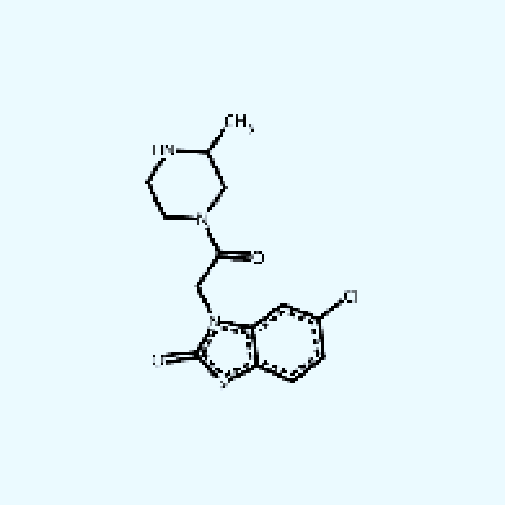 CC1CN(C(=O)Cn2c(=O)sc3ccc(Cl)cc32)CCN1